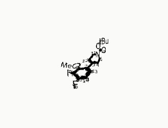 COc1c(C2=CCN(C(=O)OC(C)(C)C)CC2)ccc(F)c1F